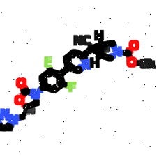 CC(C)(C)OC(=O)N1C[C@@H]2[C@H](C1)[C@@]2(C#N)c1ccc(-c2c(F)cc(N3C[C@H](Cn4ccnn4)OC3=O)cc2F)cn1